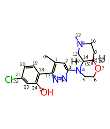 Cc1cc(N2CCO[C@@H]3CCN(C)C[C@@H]32)nnc1-c1ccc(Cl)cc1O